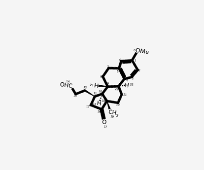 COc1ccc2c(c1)CC[C@H]1[C@@H]3[C@H](CCC=O)CC(=O)[C@@]3(C)CC[C@H]21